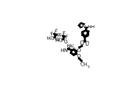 CCCOc1ccc(C(=N)N)cc1OCCOC(=O)c1ccc(C(=N)N2CCCC2)cc1.O=C(O)C(F)(F)F.O=C(O)C(F)(F)F